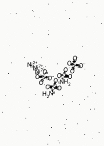 NS(=O)(=O)[O-].NS(=O)(=O)[O-].O=S(=O)([O-])[O-].O=S(=O)([O-])[O-].[Ni+2].[Ni+2].[Ni+2]